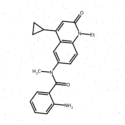 CCn1c(=O)cc(C2CC2)c2cc(N(C)C(=O)c3ccccc3N)ccc21